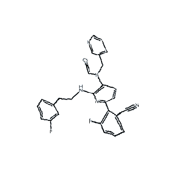 N#Cc1cccc(F)c1-c1ccc(N(C=O)Cc2cccnc2)c(NCCc2cccc(F)c2)n1